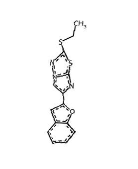 CCSc1nn2cc(-c3cc4ccccc4o3)nc2s1